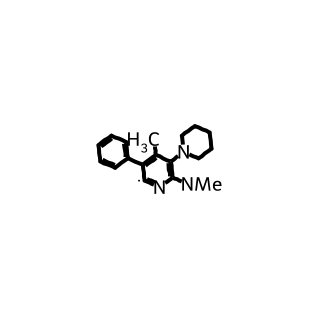 CNc1n[c]c(-c2ccccc2)c(C)c1N1CCCCC1